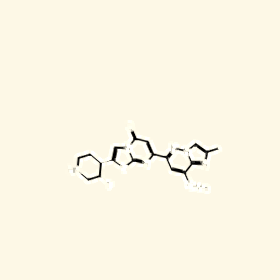 COc1cc(-c2cc(=O)n3cc([C@@H]4CCNC[C@H]4F)sc3n2)nn2cc(C)nc12